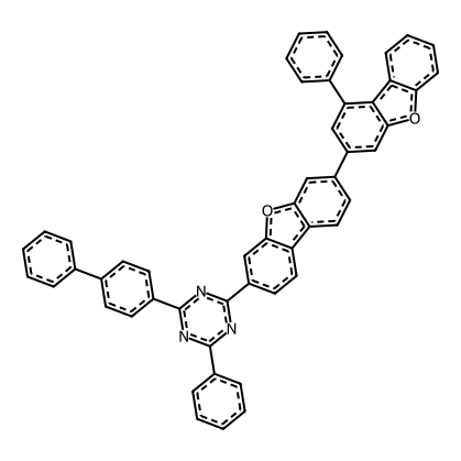 c1ccc(-c2ccc(-c3nc(-c4ccccc4)nc(-c4ccc5c(c4)oc4cc(-c6cc(-c7ccccc7)c7c(c6)oc6ccccc67)ccc45)n3)cc2)cc1